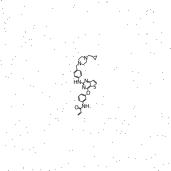 C=CC(=O)Nc1cccc(Oc2nc(Nc3ccc(CN4CCN(CC5CC5)CC4)cc3)nc3ccsc23)c1